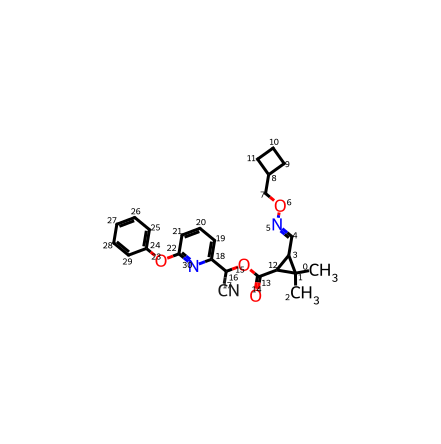 CC1(C)C(C=NOCC2CCC2)C1C(=O)OC(C#N)c1cccc(Oc2ccccc2)n1